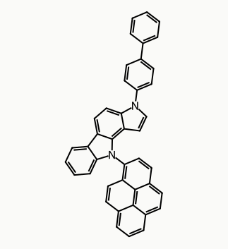 c1ccc(-c2ccc(-n3ccc4c3ccc3c5ccccc5n(-c5ccc6ccc7cccc8ccc5c6c78)c34)cc2)cc1